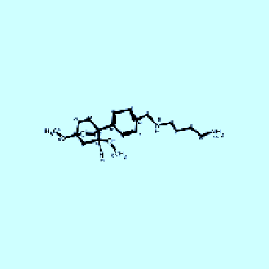 CO[C@@H]1CC2(OC)CCC1(c1ccc(CN[CH]CCCN)cc1)CC2